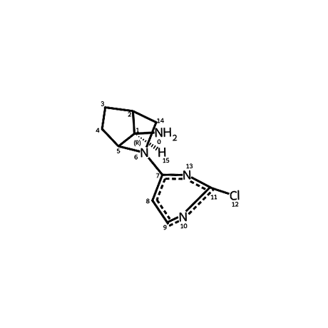 N[C@@H]1C2CCC1N(c1ccnc(Cl)n1)C2